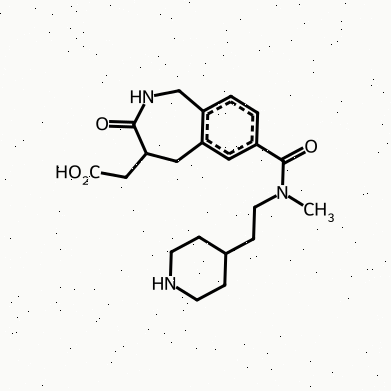 CN(CCC1CCNCC1)C(=O)c1ccc2c(c1)CC(CC(=O)O)C(=O)NC2